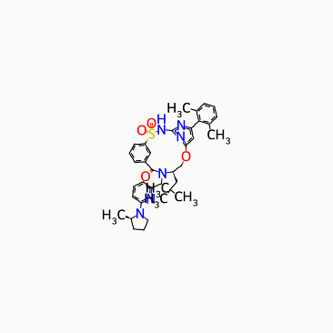 Cc1cccc(C)c1-c1cc2nc(n1)NS(=O)(=O)c1cccc(c1)C(=O)N(Cc1cccc(N3CCC[C@H]3C)n1)[C@H](CC(C)(C)C)CO2